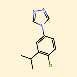 CC(C)c1cc(-n2cnnc2)ccc1Cl